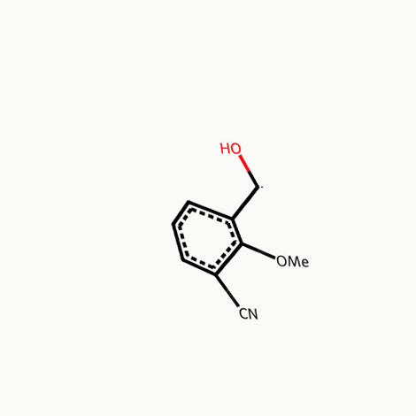 COc1c(C#N)cccc1[CH]O